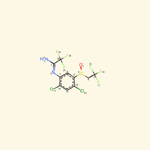 N/C(=N/c1cc([S@@+]([O-])CC(F)(F)F)c(Cl)cc1Cl)C(F)(F)F